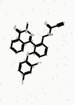 C#CC(=O)NCc1cccc(Oc2ccc(F)cc2F)c1-c1nn(C)c(=O)c2ccccc12